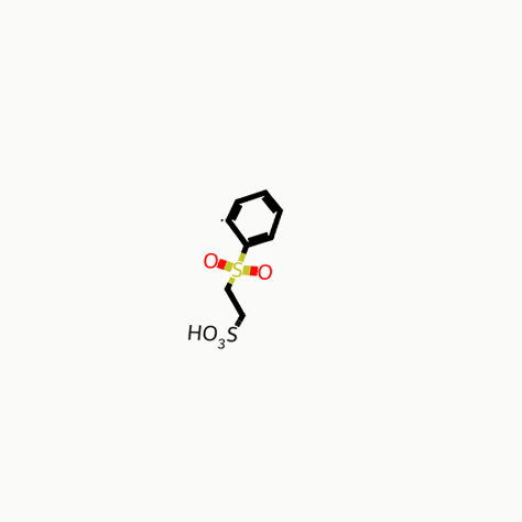 O=S(=O)(O)CCS(=O)(=O)c1[c]cccc1